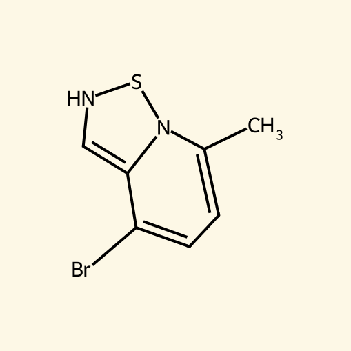 CC1=CC=C(Br)C2=CNSN12